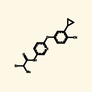 CC[C](C(=O)Nc1ccc(Oc2ccc(C#N)c(C3CC3)c2)nc1)C(C)(C)C